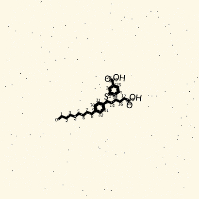 CCCCCCCCCc1ccc(C(CCCCC(=O)O)Sc2cccc(C(=O)O)c2)cc1